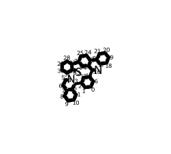 c1cc(-c2nccc3ccccc23)cc(-c2nc3ccccc3c3ccc4c5ccccc5sc4c23)c1